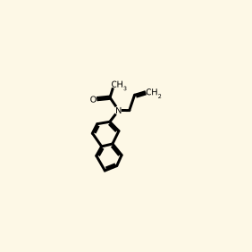 C=CCN(C(C)=O)c1ccc2ccccc2c1